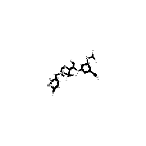 CN(/C=N\C(=C(/C=O)Oc1cc(C#N)cc(OC(F)F)c1)C(F)(F)F)Cc1ccc(=O)[nH]n1